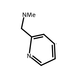 CNCc1c[c]ccn1